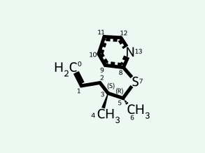 C=CC[C@H](C)[C@@H](C)Sc1ccccn1